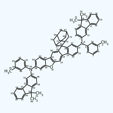 Cc1cccc(N(c2ccc3c(c2)-c2ccccc2C3(C)C)c2ccc3c(c2)C2(c4cc5c(cc4-3)oc3cc(N(c4cccc(C)c4)c4ccc6c(c4)-c4ccccc4C6(C)C)ccc35)C3CC4CC(C3)CC2C4)c1